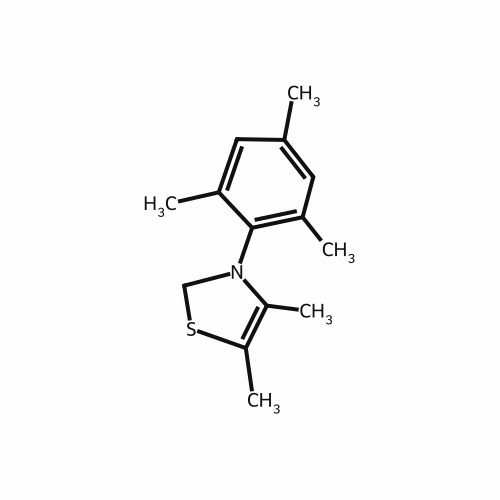 CC1=C(C)N(c2c(C)cc(C)cc2C)CS1